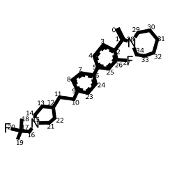 C=C(c1ccc(-c2ccc(CCC3CCN(CC(C)(C)F)CC3)cc2)cc1F)N1CCCCCC1